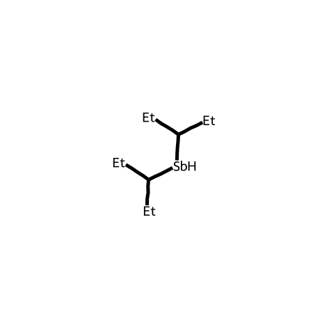 CC[CH](CC)[SbH][CH](CC)CC